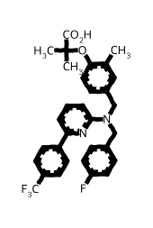 Cc1cc(CN(Cc2ccc(F)cc2)c2cccc(-c3ccc(C(F)(F)F)cc3)n2)ccc1OC(C)(C)C(=O)O